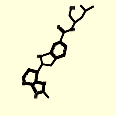 Cc1nc2c(C3Cc4ccc(C(=O)NC(CO)CC(C)C)cc4N3)ccnc2[nH]1